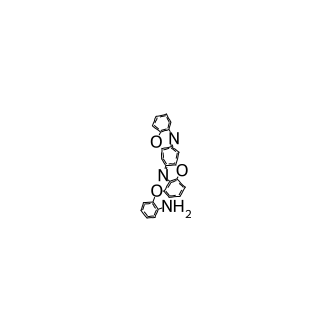 Nc1ccccc1Oc1cccc2c1N=c1cc3c(cc1O2)=Nc1ccccc1O3